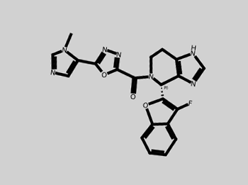 Cn1cncc1-c1nnc(C(=O)N2CCc3[nH]cnc3[C@@H]2c2oc3ccccc3c2F)o1